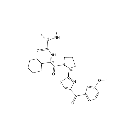 CN[C@@H](C)C(=O)N[C@H](C(=O)N1CCC[C@H]1c1nc(C(=O)c2cccc(OC)c2)cs1)C1CCCCC1